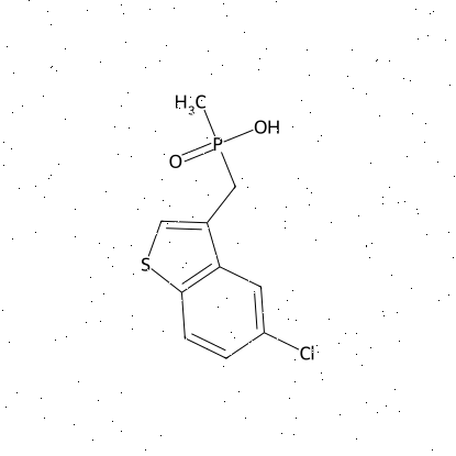 CP(=O)(O)Cc1csc2ccc(Cl)cc12